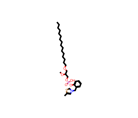 CCCCCCCCCCCCCCCCOCC(COP(=O)(O)Oc1ccccc1CN1C=C(C)SC1)OC